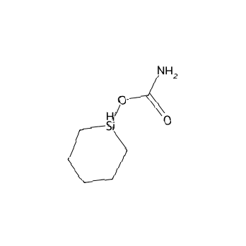 NC(=O)O[SiH]1CCCCC1